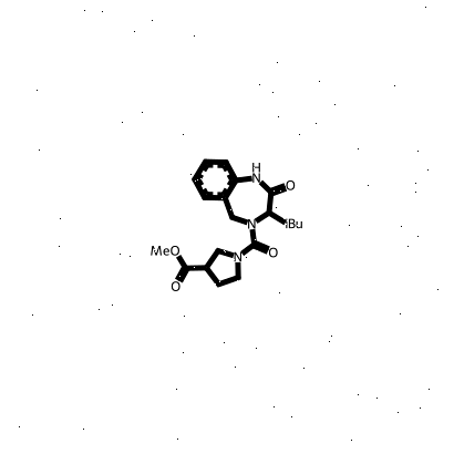 CCC(C)C1C(=O)Nc2ccccc2CN1C(=O)N1CCC(C(=O)OC)C1